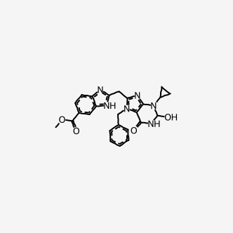 COC(=O)c1ccc2nc(Cc3nc4c(n3Cc3ccccc3)C(=O)NC(O)N4C3CC3)[nH]c2c1